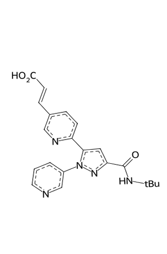 CC(C)(C)NC(=O)c1cc(-c2ccc(C=CC(=O)O)cn2)n(-c2cccnc2)n1